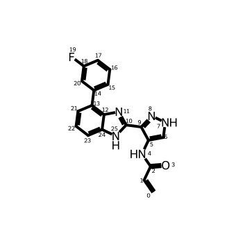 C=CC(=O)Nc1c[nH]nc1-c1nc2c(-c3cccc(F)c3)cccc2[nH]1